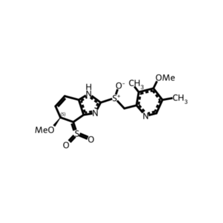 COc1c(C)cnc(C[S+]([O-])c2nc3c([nH]2)C=C[C@H](OC)C3=S(=O)=O)c1C